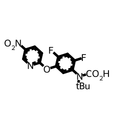 CC(C)(C)N(C(=O)O)c1cc(Oc2ccc([N+](=O)[O-])cn2)c(F)cc1F